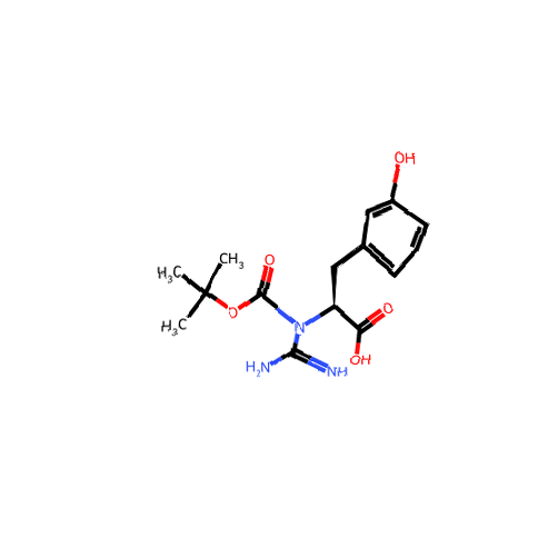 CC(C)(C)OC(=O)N(C(=N)N)[C@@H](Cc1cccc(O)c1)C(=O)O